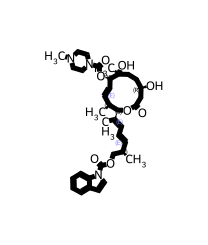 C/C(=C\C=C\[C@@H](C)COC(=O)n1ccc2ccccc21)[C@H]1OC(=O)C[C@H](O)CC[C@@](C)(O)[C@@H](OC(=O)N2CCN(C)CC2)/C=C/[C@@H]1C